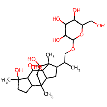 CC(COC1OC(CO)C(O)C(O)C1O)C1CC2C3(C)CC4(O)OC(C5C3CCC5(C)O)C2(O)C14C